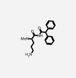 CNC(CCCN)C(=O)NC(=O)C(c1ccccc1)c1ccccc1